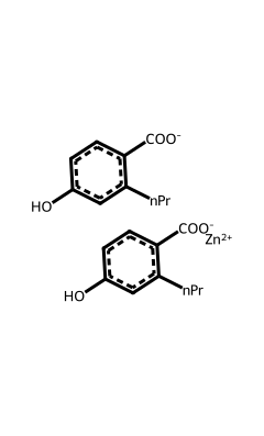 CCCc1cc(O)ccc1C(=O)[O-].CCCc1cc(O)ccc1C(=O)[O-].[Zn+2]